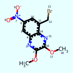 COc1nc2cc([N+](=O)[O-])cc(CBr)c2nc1OC